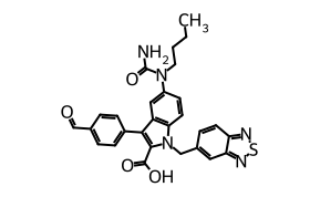 CCCCN(C(N)=O)c1ccc2c(c1)c(-c1ccc(C=O)cc1)c(C(=O)O)n2Cc1ccc2nsnc2c1